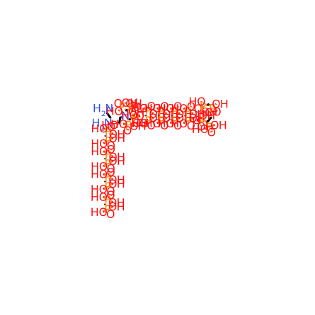 NCCN.O=P(O)(O)C(N(CCO)C(P(=O)(O)O)P(=O)(O)O)P(=O)(O)O.O=P(O)(O)CP(=O)(O)O.O=P(O)(O)CP(=O)(O)O.O=P(O)(O)CP(=O)(O)O.O=P(O)(O)CP(=O)(O)O.O=P(O)(O)CP(=O)(O)O.O=P(O)(O)CP(=O)(O)O.O=P(O)(O)CP(=O)(O)O.O=P(O)(O)CP(=O)(O)O.O=P(O)(O)CP(=O)(O)OCC(P(=O)(O)O)P(=O)(O)O